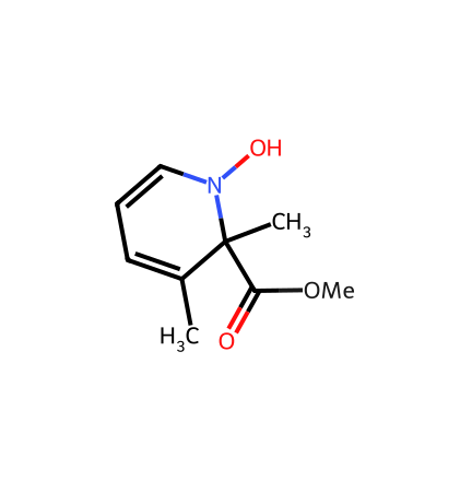 COC(=O)C1(C)C(C)=CC=CN1O